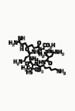 CCCC[C@H](NC(=O)[C@H](CCCNC(=N)N)NC(=O)[C@H](CCN)NC(=O)[C@@H](NC(=O)[C@H](CCCCN)NC(=O)[C@@H](N)CCN)C(C)(C)S)C(=O)O